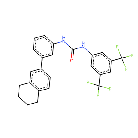 O=C(Nc1cccc(-c2ccc3c(c2)CC[CH]C3)c1)Nc1cc(C(F)(F)F)cc(C(F)(F)F)c1